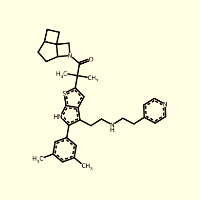 Cc1cc(C)cc(-c2[nH]c3sc(C(C)(C)C(=O)N4CC56CCC5CCC46)cc3c2CCNCCc2ccncc2)c1